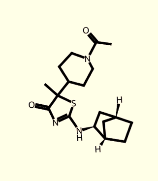 CC(=O)N1CCC(C2(C)SC(N[C@H]3C[C@@H]4CC[C@H]3C4)=NC2=O)CC1